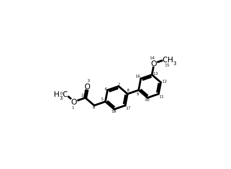 COC(=O)Cc1ccc(-c2cccc(OC)c2)cc1